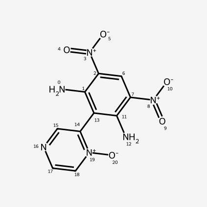 Nc1c([N+](=O)[O-])cc([N+](=O)[O-])c(N)c1-c1cncc[n+]1[O-]